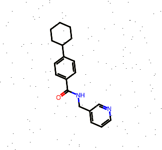 O=C(NCc1cccnc1)c1ccc(C2CCCCC2)cc1